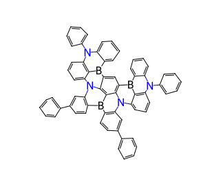 c1ccc(-c2ccc3c(c2)N2c4cccc5c4B(c4ccccc4N5c4ccccc4)c4cc5c6c(c42)B3c2ccc(-c3ccccc3)cc2N6c2cccc3c2B5c2ccccc2N3c2ccccc2)cc1